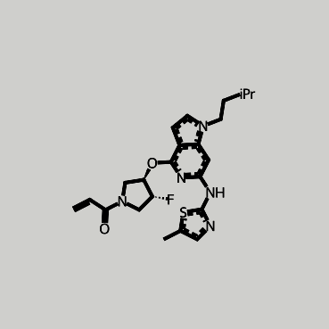 C=CC(=O)N1C[C@@H](F)[C@H](Oc2nc(Nc3ncc(C)s3)cc3c2ccn3CCC(C)C)C1